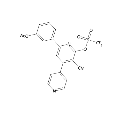 CC(=O)Oc1cccc(-c2cc(-c3ccncc3)c(C#N)c(OS(=O)(=O)C(F)(F)F)n2)c1